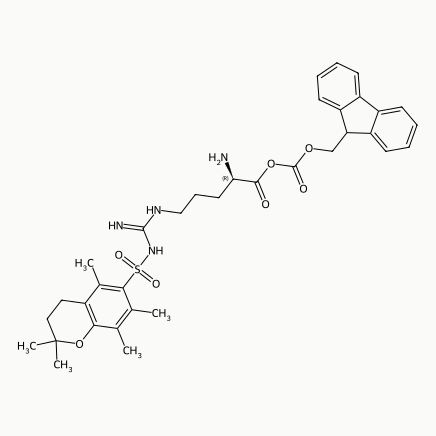 Cc1c(C)c(S(=O)(=O)NC(=N)NCCC[C@@H](N)C(=O)OC(=O)OCC2c3ccccc3-c3ccccc32)c(C)c2c1OC(C)(C)CC2